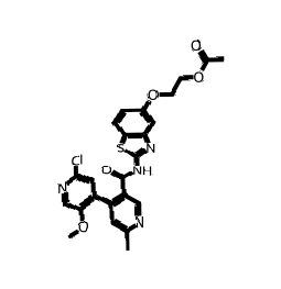 COc1cnc(Cl)cc1-c1cc(C)ncc1C(=O)Nc1nc2cc(OCCOC(C)=O)ccc2s1